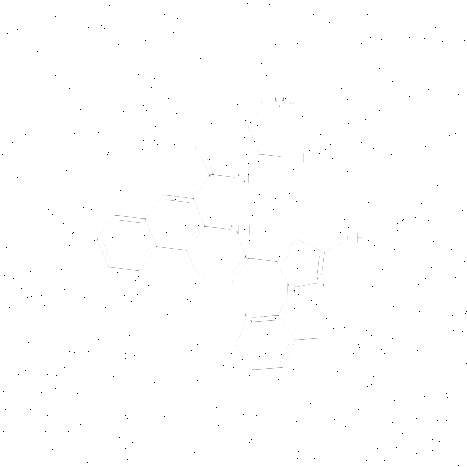 COCC(C)NC(=O)c1cc2ccccc2c(Cl)c1NC(=O)c1cc(C(F)(F)F)nn1-c1ncccc1Cl